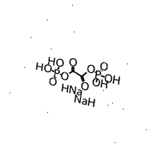 O=C(OP(=O)(O)O)C(=O)OP(=O)(O)O.[NaH].[NaH]